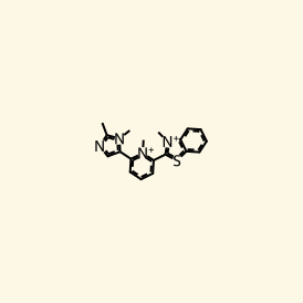 Cc1ncc(-c2cccc(-c3sc4ccccc4[n+]3C)[n+]2C)n1C